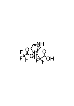 C1NC2CNC1C2.O=C(O)C(F)(F)F.O=C(O)C(F)(F)F